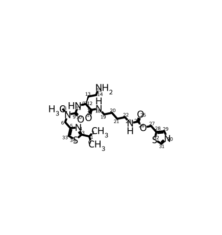 CC(C)c1nc(CN(C)C(=O)N[C@@H](CCN)C(=O)NCCCCNC(=O)OCc2cncs2)cs1